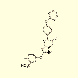 Cc1ccc(Oc2nc3nc(-c4ccc(Oc5ccccc5)cc4)c(Cl)cc3[nH]2)cc1C(=O)O